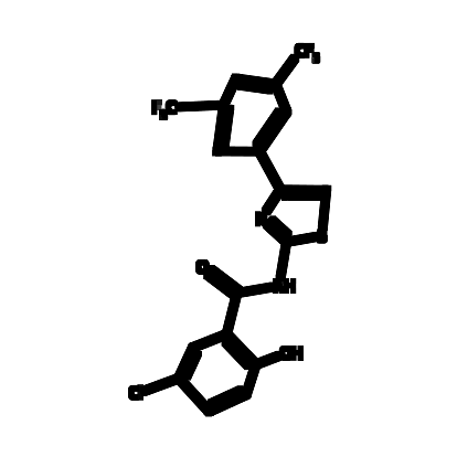 O=C(Nc1nc(-c2cc(C(F)(F)F)cc(C(F)(F)F)c2)cs1)c1cc(Cl)ccc1O